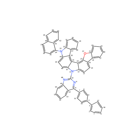 c1ccc(-c2ccc(-c3nc(-n4c5ccc6c7ccccc7oc6c5c5c6c7ccccc7n(-c7cccc8ccccc78)c6ccc54)nc4ccccc34)cc2)cc1